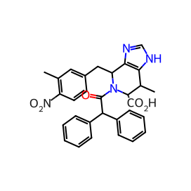 Cc1cc(CC2c3nc[nH]c3C(C)C(C(=O)O)N2C(=O)C(c2ccccc2)c2ccccc2)ccc1[N+](=O)[O-]